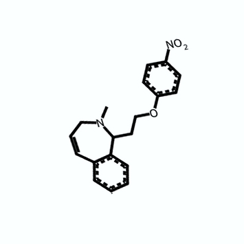 CN1CC=Cc2c[c]ccc2C1CCOc1ccc([N+](=O)[O-])cc1